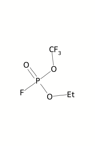 CCOP(=O)(F)OC(F)(F)F